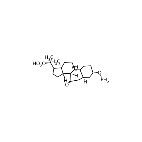 C[C@H](C(=O)O)C1CC[C@H]2[C@@H]3C(=O)C[C@@H]4C[C@H](OP)CC[C@]4(C)[C@H]3CC[C@]12C